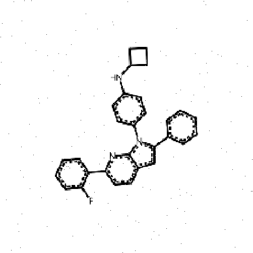 Fc1ccccc1-c1ccc2cc(-c3ccccc3)n(-c3ccc(NC4CCC4)cc3)c2n1